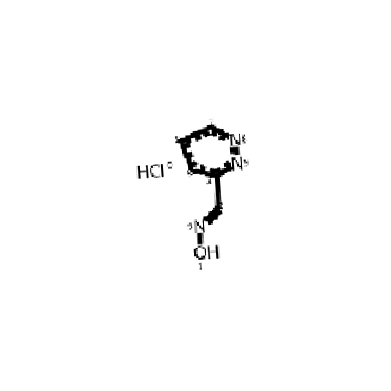 Cl.ON=Cc1cccnn1